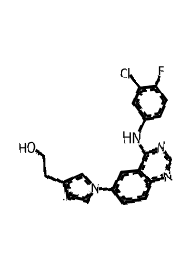 OCCc1[c]cn(-c2ccc3ncnc(Nc4ccc(F)c(Cl)c4)c3c2)c1